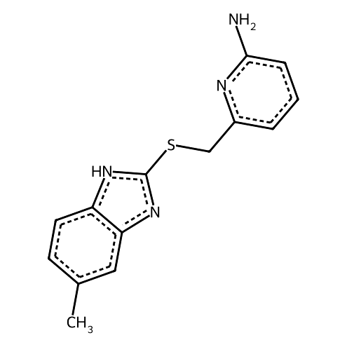 Cc1ccc2[nH]c(SCc3cccc(N)n3)nc2c1